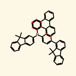 CC1(C)c2ccccc2-c2ccc(N(c3ccc(-c4cccc5c4C(C)(C)c4ccccc4-5)cc3)c3ccccc3-c3ccccc3-c3ccccc3-c3ccccc3)cc21